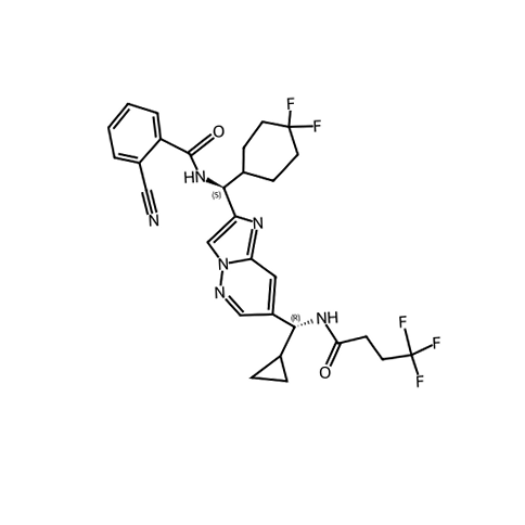 N#Cc1ccccc1C(=O)N[C@H](c1cn2ncc([C@H](NC(=O)CCC(F)(F)F)C3CC3)cc2n1)C1CCC(F)(F)CC1